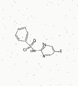 O=S(=O)(Nc1ncc(F)cn1)c1ccccc1